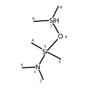 CN(C)[Si](C)(C)O[SiH](C)C